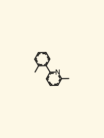 Cc1cccc(-c2ccccc2C)n1